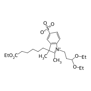 CCOC(=O)CCCCCC1(C)C(C)=[N+](CCC(OCC)OCC)c2ccc(S(=O)(=O)[O-])cc21